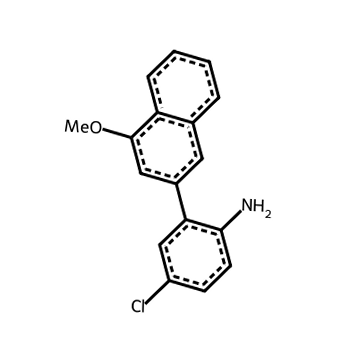 COc1cc(-c2cc(Cl)ccc2N)cc2ccccc12